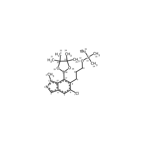 Cn1ncc2cc(Cl)c(CCCO[Si](C)(C)C(C)(C)C)c(B3OC(C)(C)C(C)(C)O3)c21